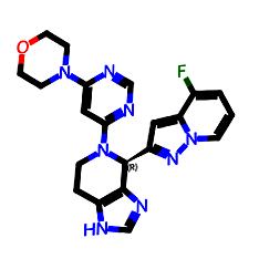 Fc1cccn2nc([C@H]3c4nc[nH]c4CCN3c3cc(N4CCOCC4)ncn3)cc12